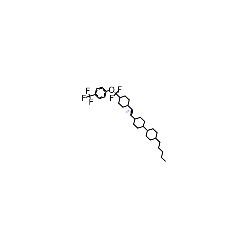 CCCCCC1CCC(C2CCC(/C=C/C3CCC(C(F)(F)Oc4ccc(C(F)(F)F)cc4)CC3)CC2)CC1